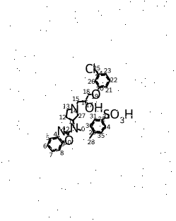 CN(c1nc2ccccc2o1)C1CCN(CC(O)COc2cccc(Cl)c2)C1.Cc1ccc(S(=O)(=O)O)cc1